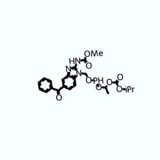 COC(=O)Nc1nc2cc(C(=O)c3ccccc3)ccc2n1COPOC(C)OC(=O)OC(C)C